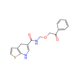 O=C(NCOCC(=O)c1ccccc1)C1=CNc2sccc2C1